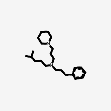 CC(C)CCCN(CCCc1ccccc1)CCCN1CCCCC1